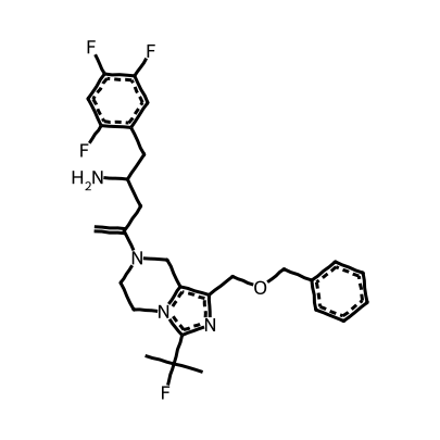 C=C(CC(N)Cc1cc(F)c(F)cc1F)N1CCn2c(C(C)(C)F)nc(COCc3ccccc3)c2C1